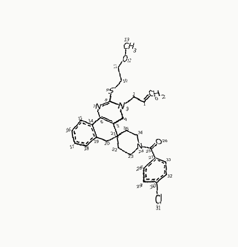 C=CCN1CC2=C(N=C1SCCOC)c1ccccc1CC21CCN(C(=O)c2ccc(Cl)cc2)CC1